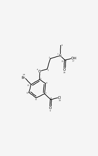 CN(CCOc1cc(C(=O)Cl)ccc1Br)C(=O)O